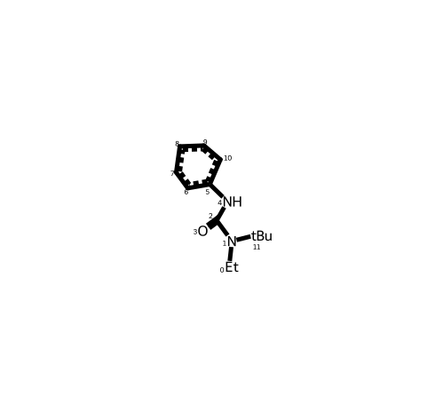 CCN(C(=O)Nc1ccccc1)C(C)(C)C